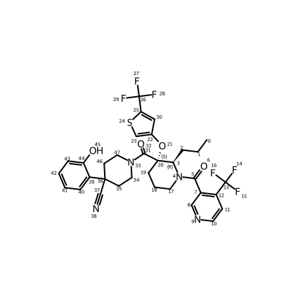 CCC[C@H]1N(C(=O)c2cnccc2C(F)(F)F)CCC[C@@]1(Oc1csc(C(F)(F)F)c1)C(=O)N1CCC(C#N)(c2ccccc2O)CC1